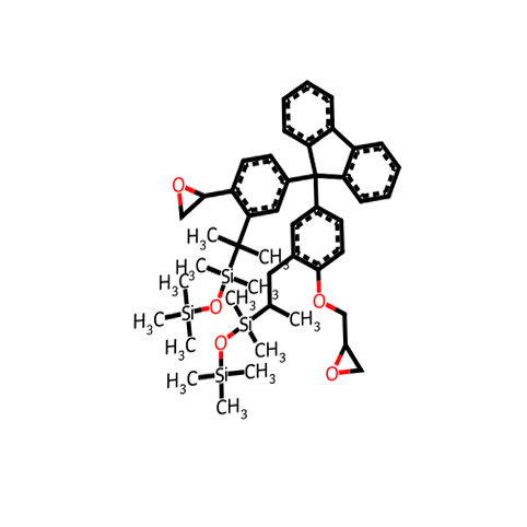 CC(Cc1cc(C2(c3ccc(C4CO4)c(C(C)(C)[Si](C)(C)O[Si](C)(C)C)c3)c3ccccc3-c3ccccc32)ccc1OCC1CO1)[Si](C)(C)O[Si](C)(C)C